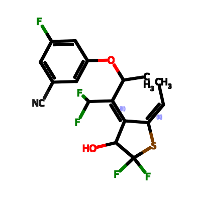 C/C=C1/SC(F)(F)C(O)/C1=C(\C(F)F)C(C)Oc1cc(F)cc(C#N)c1